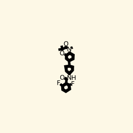 CN1C(=O)C(C)(C)Oc2cc(-c3ccc(NC(=O)c4c(F)cccc4F)cc3)ccc21